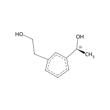 C[C@H](O)c1cccc(CCO)c1